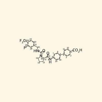 O=C(O)c1ccc(-c2ccc(NC(=O)[C@H]3CCCN3C(=O)NCc3ccc(C(F)(F)F)c(F)c3)cc2)cc1